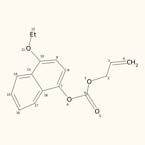 C=CCOC(=O)Oc1ccc(OCC)c2ccccc12